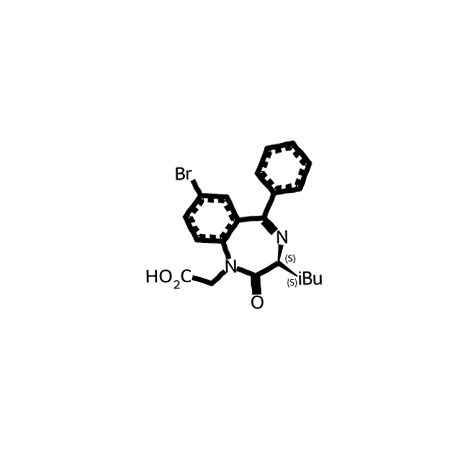 CC[C@H](C)[C@@H]1N=C(c2ccccc2)c2cc(Br)ccc2N(CC(=O)O)C1=O